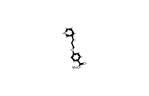 COC(=O)c1ccc(OCCCc2cccnc2)cc1